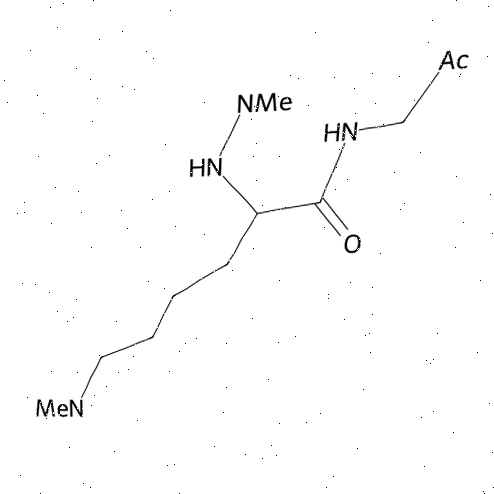 CNCCCCC(NNC)C(=O)NCC(C)=O